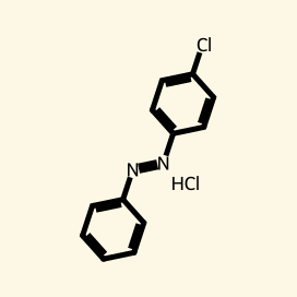 Cl.Clc1ccc(/N=N/c2ccccc2)cc1